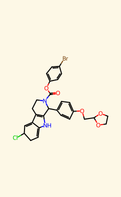 O=C(Oc1ccc(Br)cc1)N1CCc2c([nH]c3c2=CC(Cl)CC=3)C1c1ccc(OCC2OCCO2)cc1